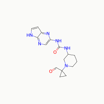 O=CC1(N2CCCC(NC(=O)Nc3cnc4[nH]ccc4n3)C2)CC1